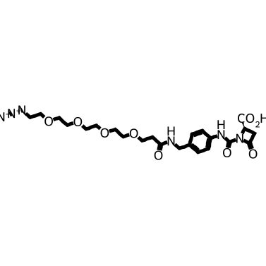 [N-]=[N+]=NCCOCCOCCOCCOCCC(=O)NCc1ccc(NC(=O)N2C(=O)C[C@H]2C(=O)O)cc1